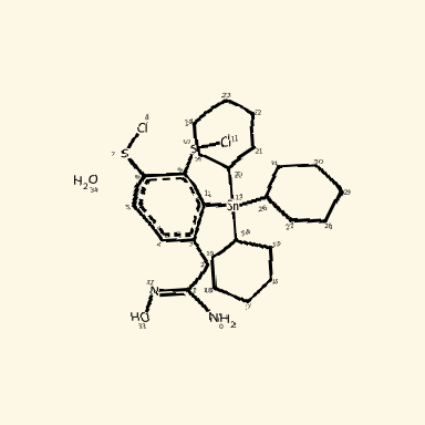 NC(Cc1ccc(SCl)c(SCl)[c]1[Sn]([CH]1CCCCC1)([CH]1CCCCC1)[CH]1CCCCC1)=NO.O